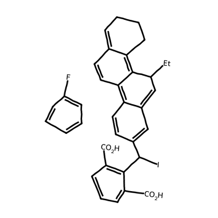 CCC1C=c2cc(C(I)c3c(C(=O)O)cccc3C(=O)O)ccc2=c2ccc3c(c21)CCCC=3.Fc1ccccc1